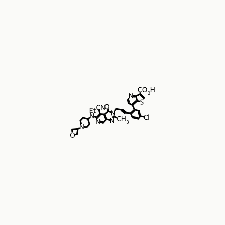 CCN(c1ncc2nc(C)n(CC#Cc3ccc(Cl)cc3-c3ccnc4c(C(=O)O)csc34)c(=O)c2c1C#N)C1CCN(C2COC2)CC1